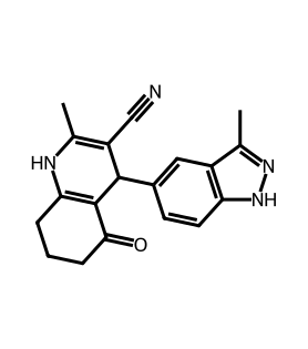 CC1=C(C#N)C(c2ccc3[nH]nc(C)c3c2)C2=C(CCCC2=O)N1